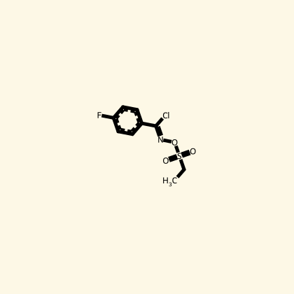 CCS(=O)(=O)ON=C(Cl)c1ccc(F)cc1